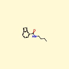 CCCCNC(=O)c1cccc2c1=CC=2